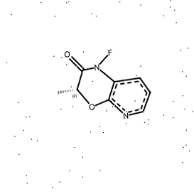 C[C@H]1Oc2ncccc2N(F)C1=O